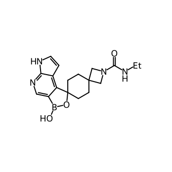 CCNC(=O)N1CC2(CCC3(CC2)OB(O)c2cnc4[nH]ccc4c23)C1